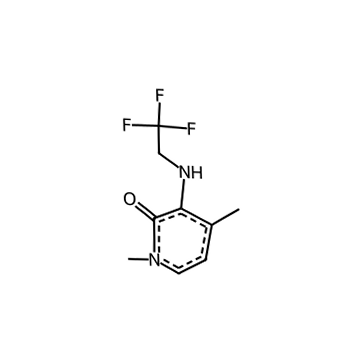 Cc1ccn(C)c(=O)c1NCC(F)(F)F